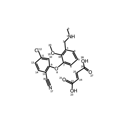 CNCc1cccc(Oc2cc(Cl)ccc2C#N)c1OC.O=C(O)C=CC(=O)O